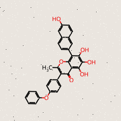 Cc1oc2c(-c3ccc4cc(O)ccc4c3)c(O)c(O)c(O)c2c(=O)c1-c1ccc(Oc2ccccc2)cc1